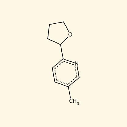 Cc1ccc(C2CCCO2)nc1